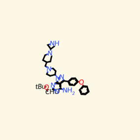 CC(C)(C)OC=O.Nc1ncnc2c1c(-c1ccc(Oc3ccccc3)cc1)nn2C1CCN(CC2CCN(C3CNC3)CC2)CC1